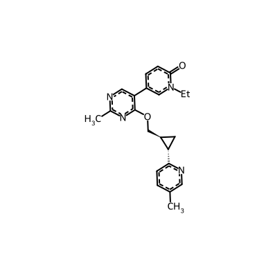 CCn1cc(-c2cnc(C)nc2OC[C@H]2C[C@@H]2c2ccc(C)cn2)ccc1=O